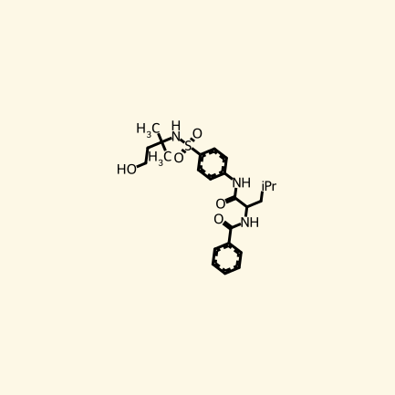 CC(C)CC(NC(=O)c1ccccc1)C(=O)Nc1ccc(S(=O)(=O)NC(C)(C)CCO)cc1